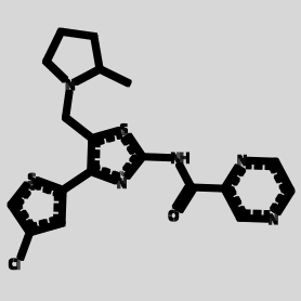 CC1CCCN1Cc1sc(NC(=O)c2cnccn2)nc1-c1cc(Cl)cs1